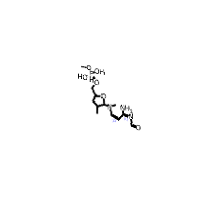 CO[PH](O)(O)OCC1CC(C)C(N(C)/C=C\C(N)=N/C=O)O1